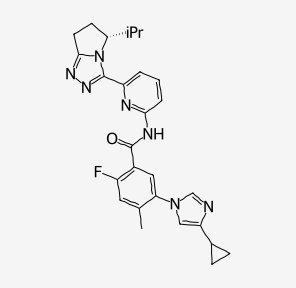 Cc1cc(F)c(C(=O)Nc2cccc(-c3nnc4n3[C@@H](C(C)C)CC4)n2)cc1-n1cnc(C2CC2)c1